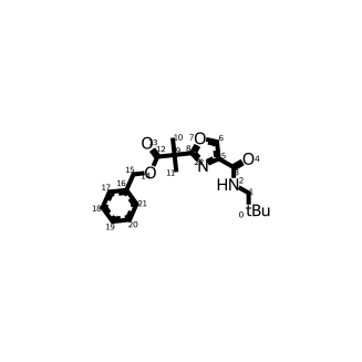 CC(C)(C)CNC(=O)c1coc(C(C)(C)C(=O)OCc2ccccc2)n1